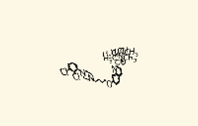 CC(C)(C)N(C(=O)Oc1ccc2ccc(OCCCCN3CCN(c4cccc(Cl)c4Cl)CC3)cc2n1)C(C)(C)C